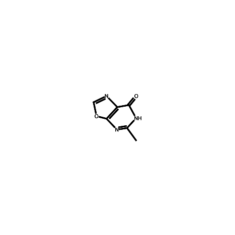 Cc1nc2ocnc2c(=O)[nH]1